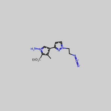 CCOC(=O)c1c(C)c(-c2ccn(CCN=[N+]=[N-])n2)cn1N